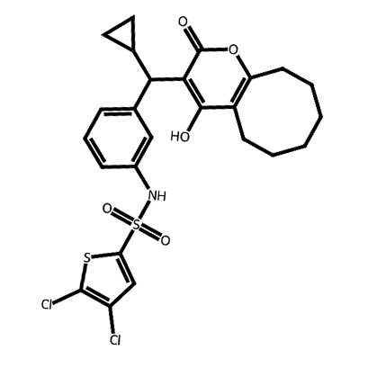 O=c1oc2c(c(O)c1C(c1cccc(NS(=O)(=O)c3cc(Cl)c(Cl)s3)c1)C1CC1)CCCCCC2